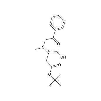 CN(CC(=O)c1ccccc1)[C@H](CO)CC(=O)OC(C)(C)C